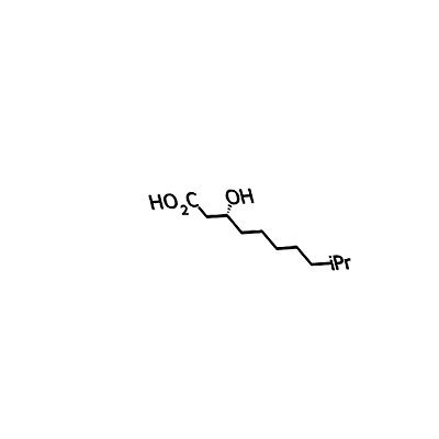 CC(C)CCCCC[C@@H](O)CC(=O)O